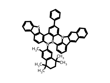 Cc1cc2c(cc1N1B3c4c(cc(-c5ccccc5)cc4-n4c5cc6ccccc6cc5c5cccc3c54)-c3c1ccc1c3sc3ccccc31)C(C)(C)CCC2(C)C